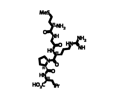 CSCC[C@H](N)C(=O)NCC(=O)N[C@@H](CCCNC(=N)N)C(=O)N1CCC[C@H]1C(=O)N[C@@H](CC(C)C)C(=O)O